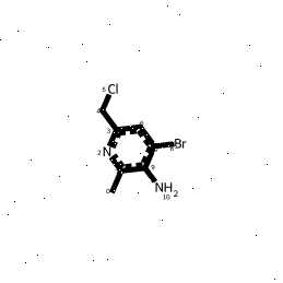 Cc1nc(CCl)cc(Br)c1N